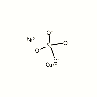 [Cu+2].[Ni+2].[O-][Si]([O-])([O-])[O-]